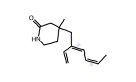 C=C/C(=C\C=C/C)CC1(C)CCNC(=O)C1